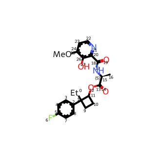 CCC1(c2ccc(F)cc2)CCC1OC(=O)[C@H](C)NC(=O)c1nccc(OC)c1O